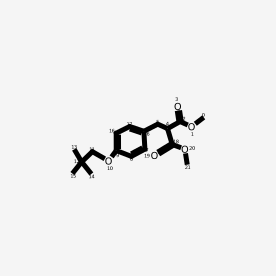 COC(=O)C(Cc1ccc(OCC(C)(C)C)cc1)C(=O)OC